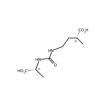 C[C@H](CCNC(=O)N[C@H](C)C(=O)O)C(=O)O